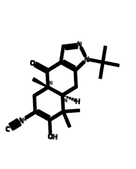 [C-]#[N+]C1=C(O)C(C)(C)[C@@H]2Cc3c(cnn3C(C)(C)C)C(=O)[C@@]2(C)C1